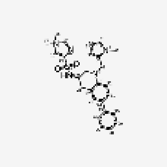 Cn1cncc1CN1CC(NS(=O)(=O)C2=C[N+](C)(C)C=N2)Cc2cc(-c3ccccc3)ccc21